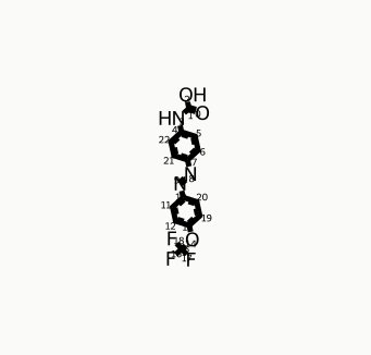 O=C(O)Nc1ccc(/N=N/c2ccc(OC(F)(F)F)cc2)cc1